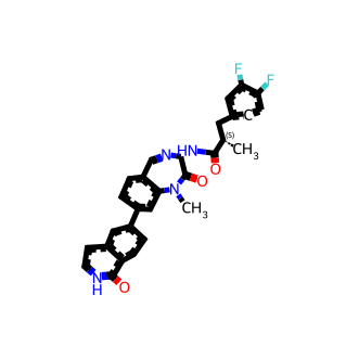 C[C@@H](Cc1ccc(F)c(F)c1)C(=O)NC1N=Cc2ccc(-c3ccc4c(=O)[nH]ccc4c3)cc2N(C)C1=O